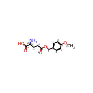 COc1ccc(COC(=O)CC[C@H](N)C(=O)O)cc1